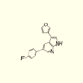 Fc1ccc(-c2cnc3[nH]cc(-c4ccoc4)c3c2)cc1